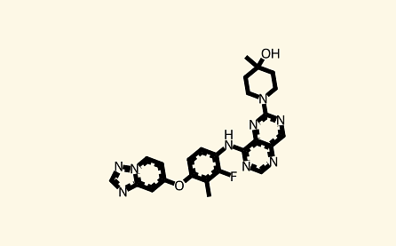 Cc1c(Oc2ccn3ncnc3c2)ccc(Nc2ncnc3cnc(N4CCC(C)(O)CC4)nc23)c1F